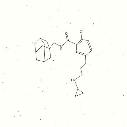 O=C(NCC12CC3CC(CC(C3)C1)C2)c1cc(CCCNC2CC2)ccc1Cl